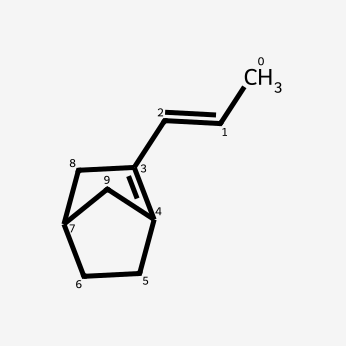 CC=CC1=C2CCC(C1)C2